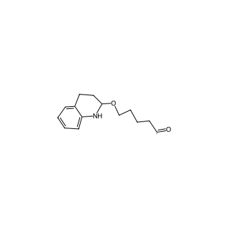 O=[C]CCCCOC1CCc2ccccc2N1